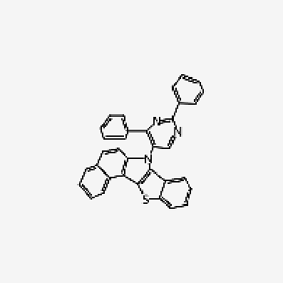 c1ccc(-c2ncc(-n3c4ccc5ccccc5c4c4sc5ccccc5c43)c(-c3ccccc3)n2)cc1